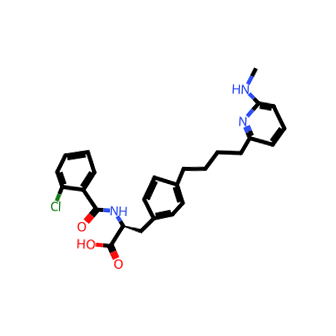 CNc1cccc(CCCCc2ccc(C[C@H](NC(=O)c3ccccc3Cl)C(=O)O)cc2)n1